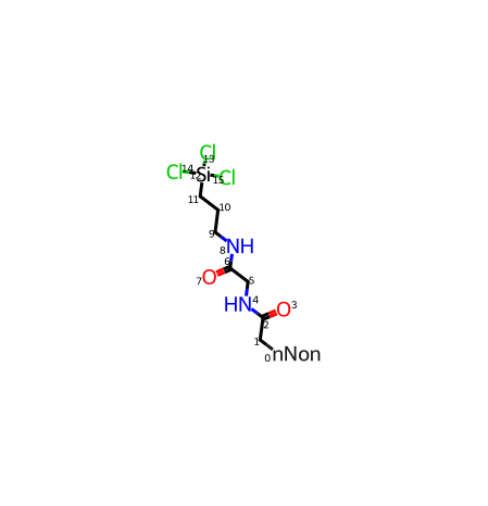 CCCCCCCCCCC(=O)NCC(=O)NCCC[Si](Cl)(Cl)Cl